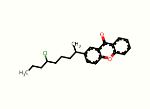 CCCC(Cl)CCCC(C)c1ccc2oc3ccccc3c(=O)c2c1